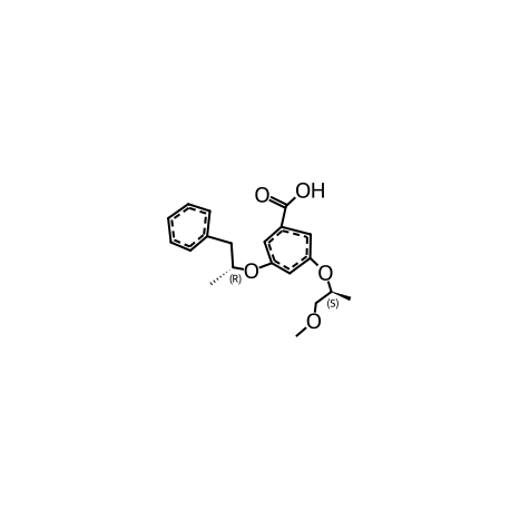 COC[C@H](C)Oc1cc(O[C@H](C)Cc2ccccc2)cc(C(=O)O)c1